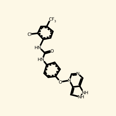 O=C(Nc1ccc(ON2C=NC=C3NNC=C32)cc1)Nc1ccc(C(F)(F)F)cc1Cl